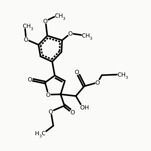 CCOC(=O)C(O)C1(C(=O)OCC)C=C(c2cc(OC)c(OC)c(OC)c2)C(=O)O1